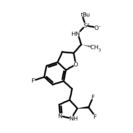 C[C@@H](N[S+]([O-])C(C)(C)C)C1Cc2cc(F)cc(CC3C=NN[C@@H]3C(F)F)c2O1